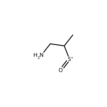 CC(CN)[S+]=O